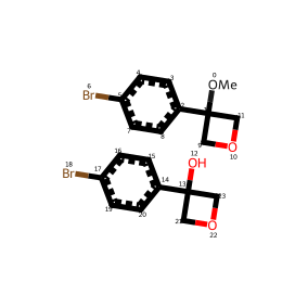 COC1(c2ccc(Br)cc2)COC1.OC1(c2ccc(Br)cc2)COC1